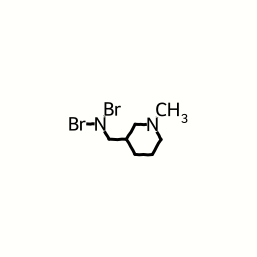 CN1CCCC(CN(Br)Br)C1